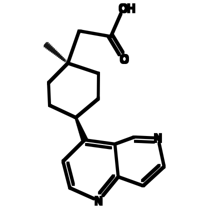 C[C@]1(CC(=O)O)CC[C@@H](c2ccnc3ccncc32)CC1